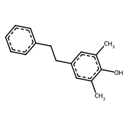 Cc1cc(CCc2ccccc2)cc(C)c1O